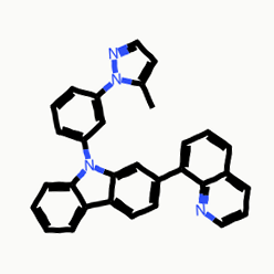 Cc1ccnn1-c1cccc(-n2c3ccccc3c3ccc(-c4cccc5cccnc45)cc32)c1